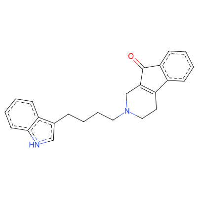 O=C1C2=C(CCN(CCCCc3c[nH]c4ccccc34)C2)c2ccccc21